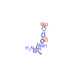 CS(=O)(=O)N1CCC(N2CCN3c4ccc(Nc5ncc(C(N)=O)c(NC6CC6)n5)cc4OCC3C2)CC1